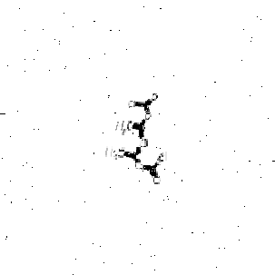 CC(OC(=O)Cl)OC(C)OC(=O)Cl